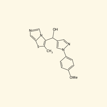 COc1ccc(-n2cc(C(O)c3c(C)sc4cncn34)cn2)cc1